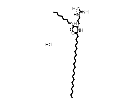 CCCCCCCCCCCCCCCCCCCCCC(=O)N[C@@H](CCCNC(=N)N)C(=O)NCCCCCCC.Cl